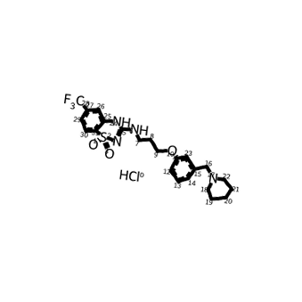 Cl.O=S1(=O)N=C(NCCCOc2cccc(CN3CCCCC3)c2)Nc2cc(C(F)(F)F)ccc21